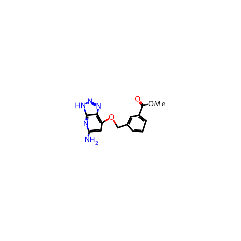 COC(=O)c1cccc(COc2cc(N)nc3[nH]nnc23)c1